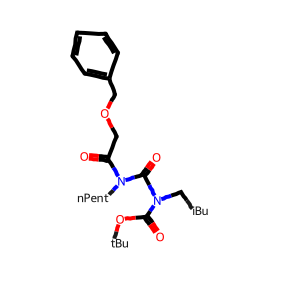 CCCCCN(C(=O)COCc1ccccc1)C(=O)N(CC(C)CC)C(=O)OC(C)(C)C